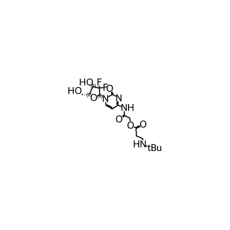 CC(C)(C)NCCC(=O)OCC(=O)Nc1ccn([C@@H]2O[C@H](CO)[C@@H](O)C2(F)F)c(=O)n1